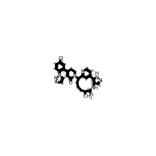 CC1CCCC(N2CCC(c3cc(Cl)ccc3-n3ccnn3)=CC2=O)c2cc(ccn2)-c2[nH]ncc2NC1=O